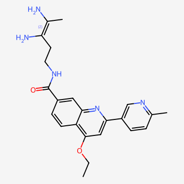 CCOc1cc(-c2ccc(C)nc2)nc2cc(C(=O)NCC/C(N)=C(\C)N)ccc12